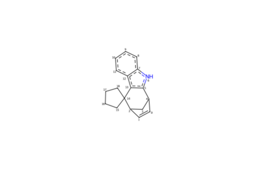 C1=CC2CC1c1[nH]c3ccccc3c1C21CCCC1